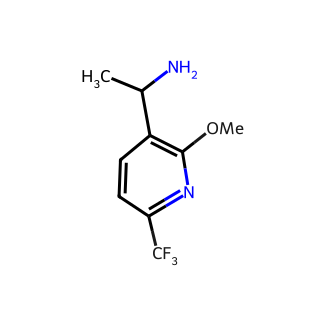 COc1nc(C(F)(F)F)ccc1C(C)N